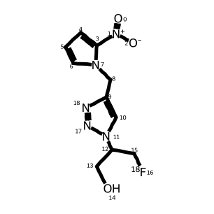 O=[N+]([O-])c1cccn1Cc1cn(C(CO)C[18F])nn1